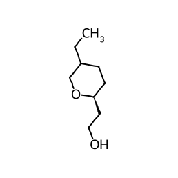 CCC1CC[C@@H](CCO)OC1